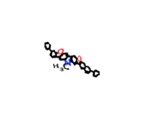 Cn1c2cc3c(cc2c2cc4oc5cc6cc(-c7ccccc7)ccc6cc5c4cc21)oc1cc(-c2ccccc2)ccc13